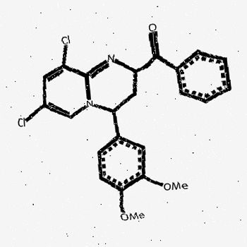 COc1ccc(C2CC(C(=O)c3ccccc3)N=C3C(Cl)=CC(Cl)=CN32)cc1OC